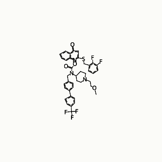 COCCN1CCC(N(Cc2ccc(-c3ccc(C(F)(F)F)cc3)cc2)C(=O)On2c(SCc3cccc(F)c3F)cc(=O)c3ccccc32)CC1